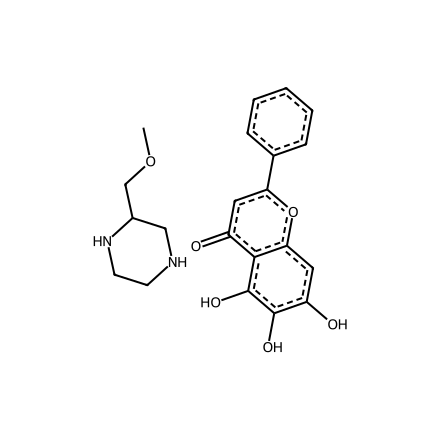 COCC1CNCCN1.O=c1cc(-c2ccccc2)oc2cc(O)c(O)c(O)c12